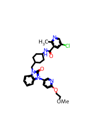 COCCOc1ccc(-n2c(=O)n(CC3CCC(NC(=O)c4cc(Cl)cnc4C)CC3)c3ccccc32)cn1